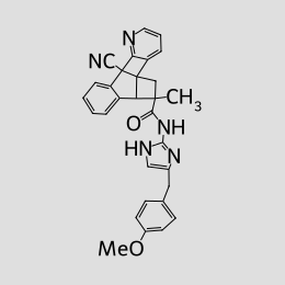 COc1ccc(Cc2c[nH]c(NC(=O)C3(C)CC45c6cccnc6C4(C#N)c4ccccc4C35)n2)cc1